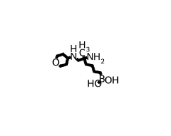 CC(N)(CCCCB(O)O)CNC1CCOCC1